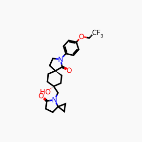 O=C1CCC2(CC2)N1C[C@]1(O)CC[C@]2(CCN(c3ccc(OCC(F)(F)F)cc3)C2=O)CC1